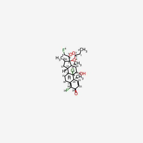 CCC(=O)O[C@]1(C(=O)CF)C(C)C[C@H]2[C@@H]3CCC4=C(F)C(=O)C=C[C@]4(C)[C@@]3(Cl)[C@@H](O)C[C@@]21C